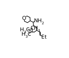 CC/C=C/C(CCC(N)C1CCOCC1)C[Si](C)(C)C